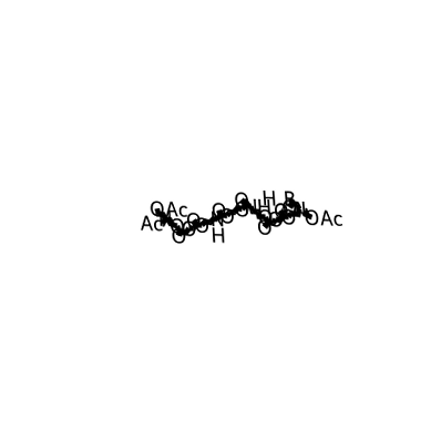 BC(=O)CN(CCOC(C)=O)CCOC(=O)COCC(=O)OCCCNC(=O)OCCCOC(=O)NCCCOC(=O)COCC(=O)OCCN(CCOC(C)=O)CC(C)=O